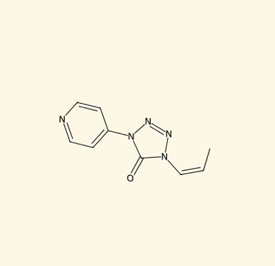 C/C=C\n1nnn(-c2ccncc2)c1=O